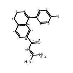 Cc1ccc(C2=CCCc3ccc(C(=O)N=C(N)N)cc32)cc1